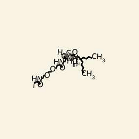 CCCCCC(C)(CCCCC)CNC(=O)[C@H](C)NC(=O)CNC(=O)CCOCCOCCNC(=O)CI